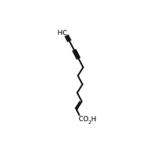 C#CC#CCCCC/C=C/C(=O)O